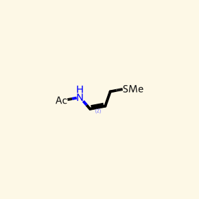 CSC/C=C\NC(C)=O